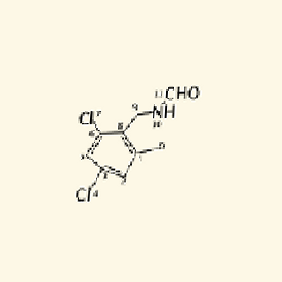 Cc1cc(Cl)cc(Cl)c1CNC=O